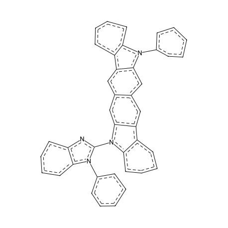 c1ccc(-n2c(-n3c4ccccc4c4cc5cc6c(cc5cc43)c3ccccc3n6-c3ccccc3)nc3ccccc32)cc1